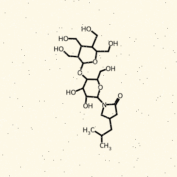 CC(C)CC1CC(=O)N(C2OC(CO)C(OC3OC(CO)C(CO)C(CO)C3CO)C(O)C2O)C1